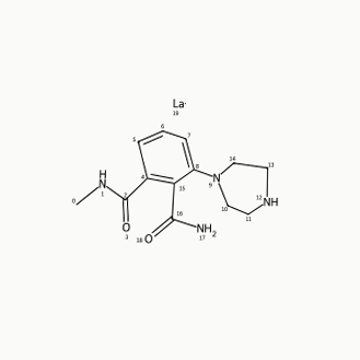 CNC(=O)c1cccc(N2CCNCC2)c1C(N)=O.[La]